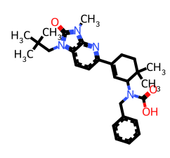 Cn1c(=O)n(CC(C)(C)C)c2ccc(C3=CC(N(Cc4ccccc4)C(=O)O)C(C)(C)CC3)nc21